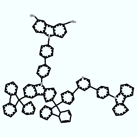 CC(C)(C)c1ccc2c(c1)c1cc(C(C)(C)C)ccc1n2-c1ccc(-c2ccc(-n3c4ccc(C5(c6ccccc6)c6ccccc6-c6ccccc65)cc4c4cc(C5(c6ccc(-c7cncc(-c8ccc(-n9c%10ccccc%10c%10ccccc%109)cc8)c7)cc6)c6ccccc6C6C=CC=CC65)ccc43)cc2)cc1